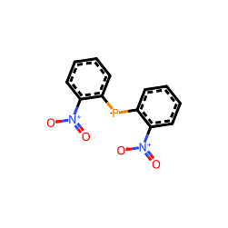 O=[N+]([O-])c1ccccc1[P]c1ccccc1[N+](=O)[O-]